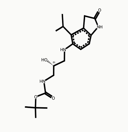 CC(C)c1c(NC[C@@H](O)CNC(=O)OC(C)(C)C)ccc2c1CC(=O)N2